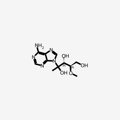 CO[C@H](CO)[C@@H](O)C(C)(O)n1cnc2c(N)ncnc21